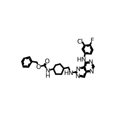 O=C(NC1CCC(CNc2ncc3ncnc(Nc4ccc(F)c(Cl)c4)c3n2)CC1)OCc1ccccc1